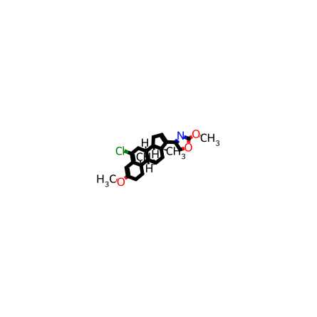 COC1=CC2=C(Cl)C[C@@H]3[C@H](CC[C@]4(C)C(C5=NC(OC)OC5)=CC[C@@H]34)[C@@]2(C)CC1